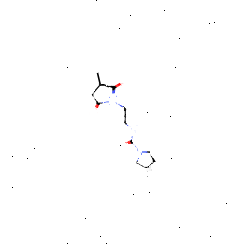 CC1CC(=O)N(CCNC(=O)N2CC[C@@H](C)C2)C1=O